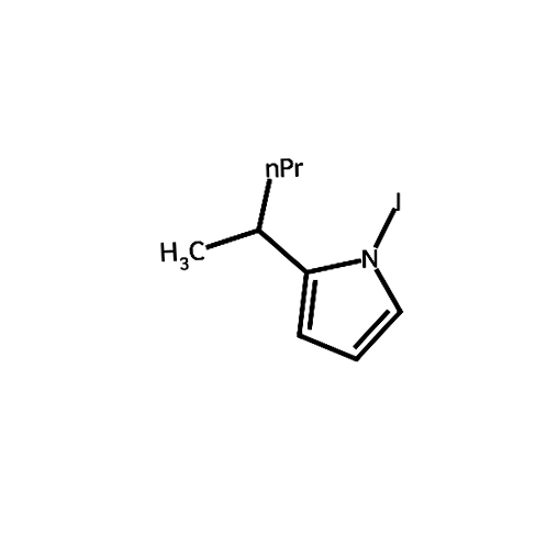 CCCC(C)c1cccn1I